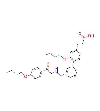 CCCCOc1ccc(C(=O)CNCc2cccc(-c3ccc(CCC(=O)O)cc3OCCCC)c2)cc1